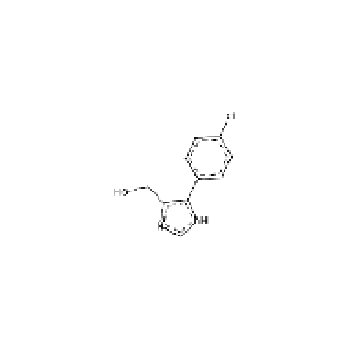 OCc1nc[nH]c1-c1ccc(Cl)cc1